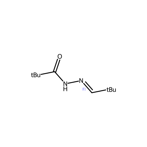 CC(C)(C)/C=N/NC(=O)C(C)(C)C